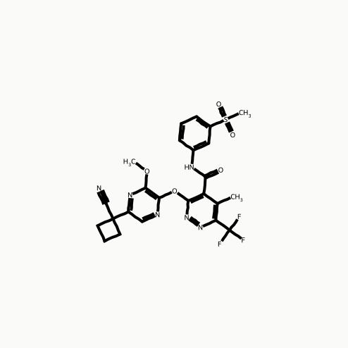 COc1nc(C2(C#N)CCC2)cnc1Oc1nnc(C(F)(F)F)c(C)c1C(=O)Nc1cccc(S(C)(=O)=O)c1